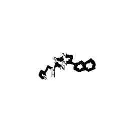 c1csc(CNc2nn3c(-c4ccc5ccccc5c4)cnc3s2)c1